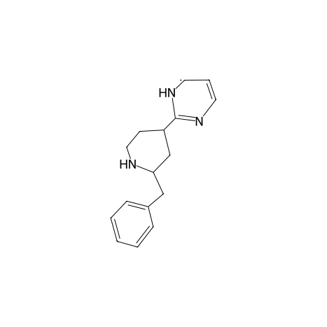 [CH]1C=CN=C(C2CCNC(Cc3ccccc3)C2)N1